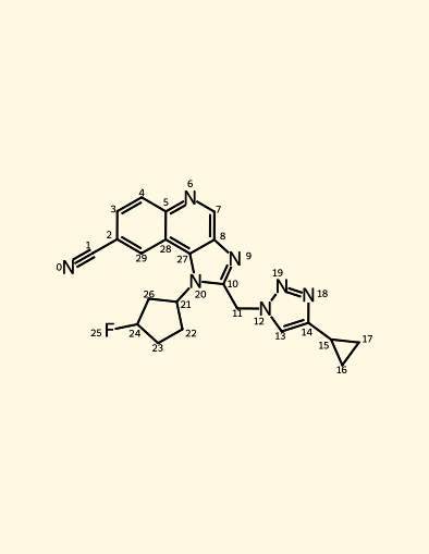 N#Cc1ccc2ncc3nc(Cn4cc(C5CC5)nn4)n(C4CCC(F)C4)c3c2c1